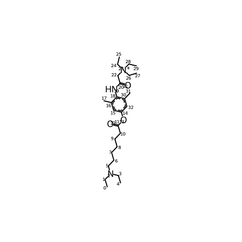 CCN(CC)CCCCCCC(=O)Oc1cc(C)c(NC(=O)C[N+](CC)(CC)CC)c(C)c1